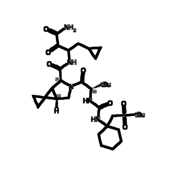 CC(C)(C)[C@H](NC(=O)NC1(CS(=O)(=O)C(C)(C)C)CCCCC1)C(=O)N1C[C@H]2C([C@H]1C(=O)NC(CC1CC1)C(=O)C(N)=O)C21CC1